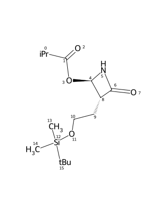 CC(C)C(=O)O[C@H]1NC(=O)[C@@H]1CCO[Si](C)(C)C(C)(C)C